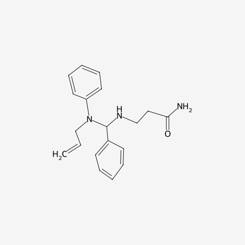 C=CCN(c1ccccc1)C(NCCC(N)=O)c1ccccc1